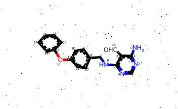 Nc1ncnc(NCc2ccc(Oc3ccccc3)cc2)c1C=O